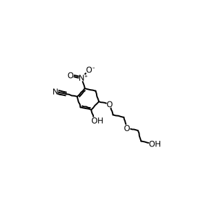 N#CC1=C([N+](=O)[O-])CC(OCCOCCO)C(O)=C1